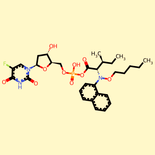 CCCCCON(c1cccc2ccccc12)[C@H](C(=O)OP(=O)(O)OC[C@H]1O[C@@H](n2cc(F)c(=O)[nH]c2=O)C[C@@H]1O)[C@@H](C)CC